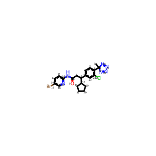 CC1(c2ccc(C(CC(=O)Nc3ccc(Br)cn3)C3CCCC3)cc2Cl)N=NN=N1